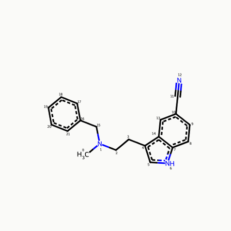 CN(CCc1c[nH]c2ccc(C#N)cc12)Cc1ccccc1